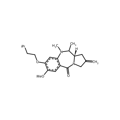 C=C1C[C@H]2C(C)N(C)c3cc(OCCC(C)C)c(OC)cc3C(=O)N2C1